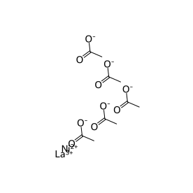 CC(=O)[O-].CC(=O)[O-].CC(=O)[O-].CC(=O)[O-].CC(=O)[O-].[La+3].[Ni+2]